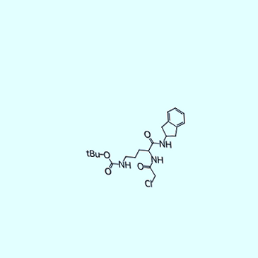 CC(C)(C)OC(=O)NCCCC(NC(=O)CCl)C(=O)NC1Cc2ccccc2C1